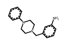 Nc1cccc(CN2CCN(c3ccccc3)CC2)c1